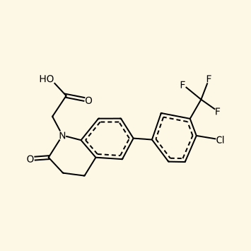 O=C(O)CN1C(=O)CCc2cc(-c3ccc(Cl)c(C(F)(F)F)c3)ccc21